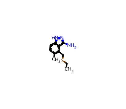 CCSCc1c(C)ccc2[nH]nc(N)c12